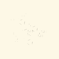 CCOc1cc(C(Nc2ccc(C(=N)N)cc2)C(=O)NN=Cc2ccccc2)ccc1OC(C)C.O=C(O)C(F)(F)F